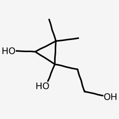 CC1(C)C(O)C1(O)CCO